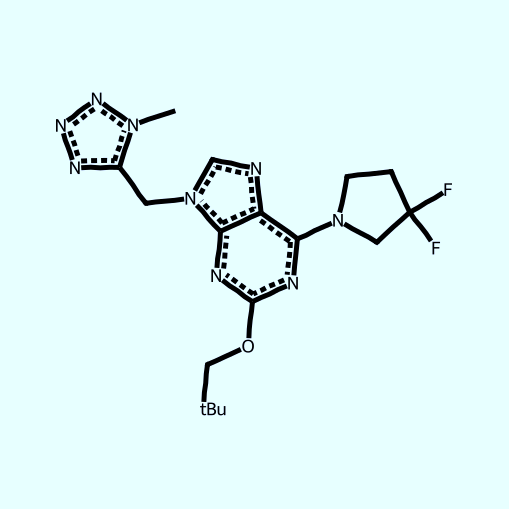 Cn1nnnc1Cn1cnc2c(N3CCC(F)(F)C3)nc(OCC(C)(C)C)nc21